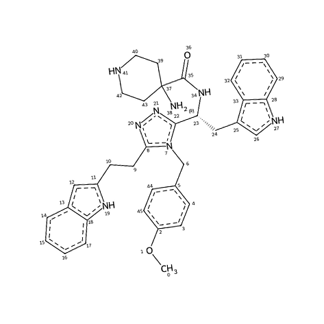 COc1ccc(Cn2c(CCc3cc4ccccc4[nH]3)nnc2[C@@H](Cc2c[nH]c3ccccc23)NC(=O)C2(N)CCNCC2)cc1